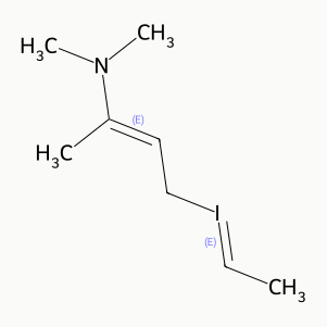 C/C=I/C/C=C(\C)N(C)C